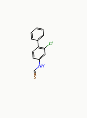 S=CNc1ccc(-c2ccccc2)c(Cl)c1